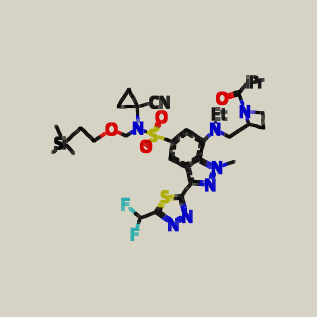 CCN(CC1CCN1C(=O)C(C)C)c1cc(S(=O)(=O)N(COCC[Si](C)(C)C)C2(C#N)CC2)cc2c(-c3nnc(C(F)F)s3)nn(C)c12